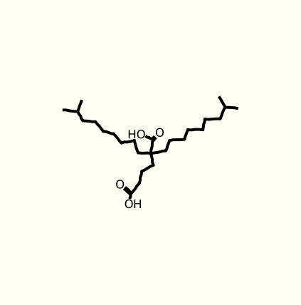 CC(C)CCCCCCCC(CCCCCCCC(C)C)(CCCC(=O)O)C(=O)O